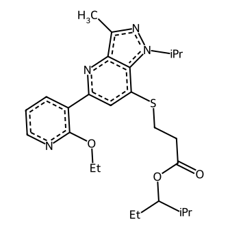 CCOc1ncccc1-c1cc(SCCC(=O)OC(CC)C(C)C)c2c(n1)c(C)nn2C(C)C